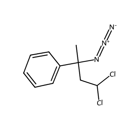 CC(CC(Cl)Cl)(N=[N+]=[N-])c1ccccc1